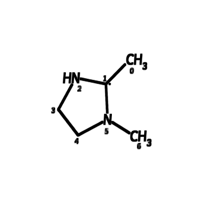 C[C]1NCCN1C